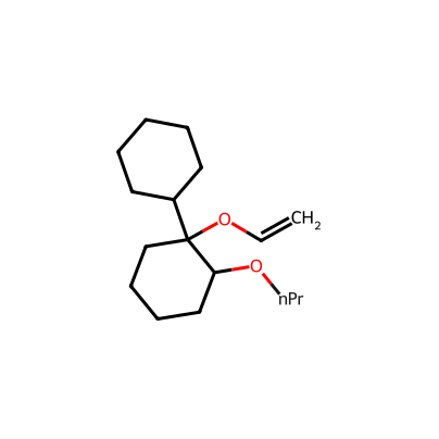 C=COC1(C2CCCCC2)CCCCC1OCCC